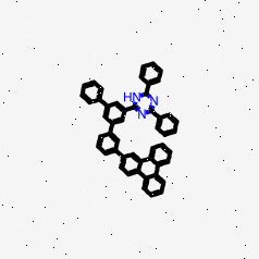 c1ccc(C2=NC(c3ccccc3)NC(c3cc(-c4ccccc4)cc(-c4cccc(-c5ccc6c7ccccc7c7ccccc7c6c5)c4)c3)=N2)cc1